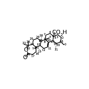 C[C@@H]1CC[C@]2(C(=O)O)CC[C@]3(C)C(=CCC4[C@@]5(C)CCC(=O)OC(C)(C)C5CC[C@]43C)C2[C@H]1C